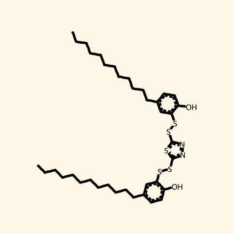 CCCCCCCCCCCCc1ccc(O)c(SSc2nnc(SSc3cc(CCCCCCCCCCCC)ccc3O)s2)c1